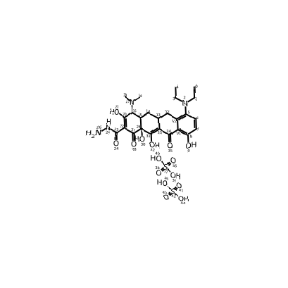 CCN(CC)c1ccc(O)c2c1CC1CC3[C@H](N(C)C)C(O)=C(C(=O)NN)C(=O)C3(O)C(O)=C1C2=O.O=S(=O)(O)O.O=S(=O)(O)O